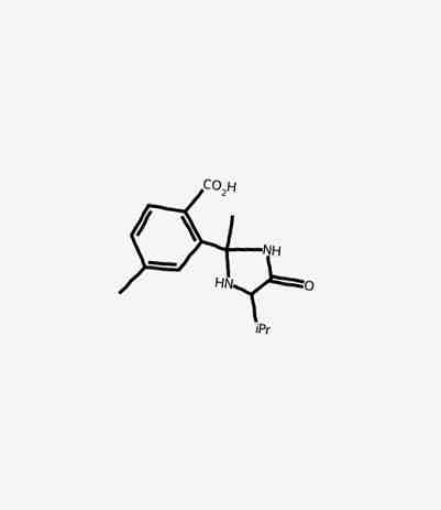 Cc1ccc(C(=O)O)c(C2(C)NC(=O)C(C(C)C)N2)c1